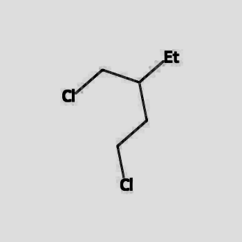 CCC(CCl)CCCl